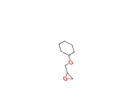 C1CC[C](OCC2CO2)CC1